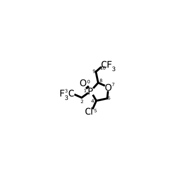 O=P1(CC(F)(F)F)C(Cl)COC1CC(F)(F)F